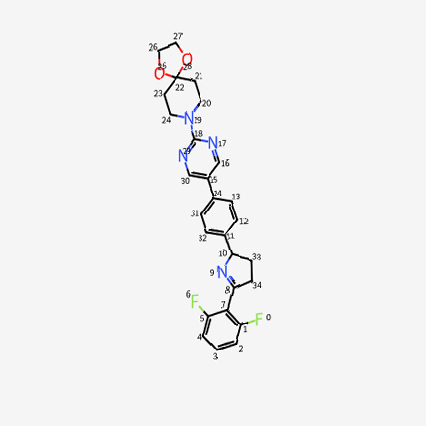 Fc1cccc(F)c1C1=NC(c2ccc(-c3cnc(N4CCC5(CC4)OCCO5)nc3)cc2)CC1